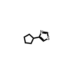 [c]1nc(C2CCCC2)cs1